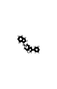 c1ccc(C2COC3(CCN(C[C@H]4CCc5ccccc54)CC3)C2)cc1